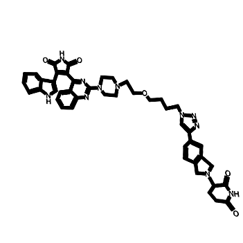 O=C1CCC(N2Cc3ccc(-c4cn(CCCCOCCN5CCN(c6nc(C7=C(c8c[nH]c9ccccc89)C(=O)NC7=O)c7ccccc7n6)CC5)nn4)cc3C2)C(=O)N1